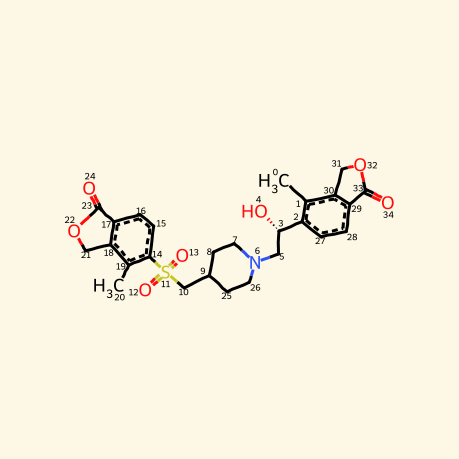 Cc1c([C@@H](O)CN2CCC(CS(=O)(=O)c3ccc4c(c3C)COC4=O)CC2)ccc2c1COC2=O